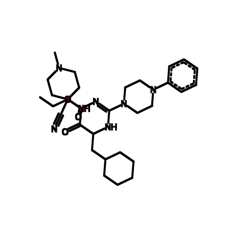 CCOC(=O)/N=C(\NC(CC1CCCCC1)C(=O)NC1(C#N)CCN(C)CC1)N1CCN(c2ccccc2)CC1